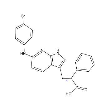 O=C(O)/C(=C/c1c[nH]c2nc(Nc3ccc(Br)cc3)ccc12)c1ccccc1